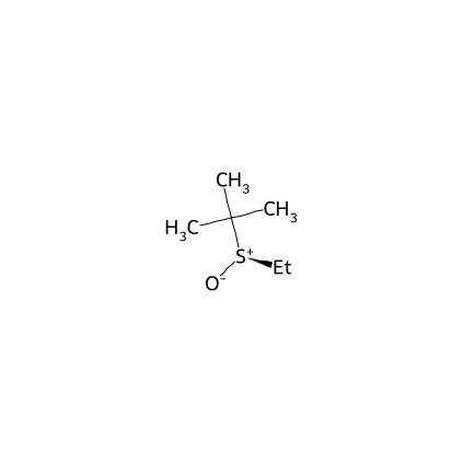 [CH2]C[S@@+]([O-])C(C)(C)C